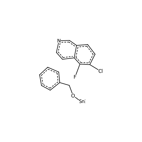 Fc1c(Cl)ccc2cnccc12.[Sn][O]Cc1ccccc1